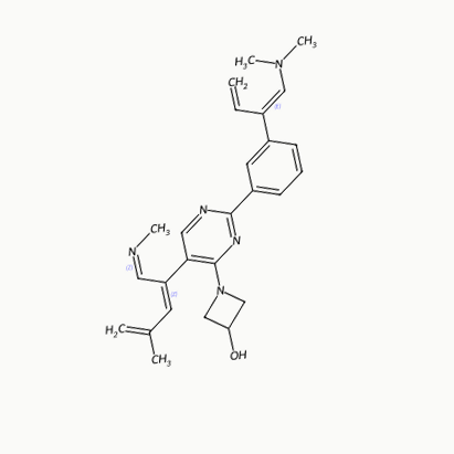 C=C/C(=C\N(C)C)c1cccc(-c2ncc(C(/C=N\C)=C/C(=C)C)c(N3CC(O)C3)n2)c1